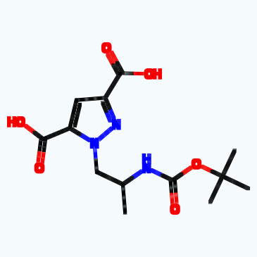 CC(Cn1nc(C(=O)O)cc1C(=O)O)NC(=O)OC(C)(C)C